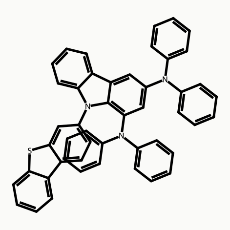 c1ccc(N(c2ccccc2)c2cc(N(c3ccccc3)c3ccccc3)c3c(c2)c2ccccc2n3-c2ccc3c(c2)sc2ccccc23)cc1